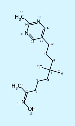 C/C(CCCC(F)(F)CCCc1cnc(C)nc1)=N/O